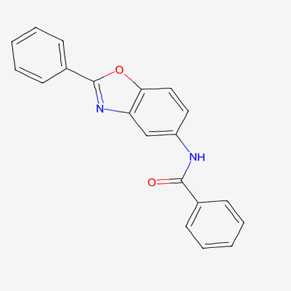 O=C(Nc1ccc2oc(-c3ccccc3)nc2c1)c1ccccc1